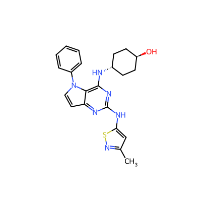 Cc1cc(Nc2nc(N[C@H]3CC[C@H](O)CC3)c3c(ccn3-c3ccccc3)n2)sn1